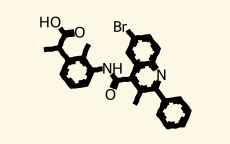 Cc1c(NC(=O)c2c(C)c(-c3ccccc3)nc3ccc(Br)cc23)cccc1C(C)C(=O)O